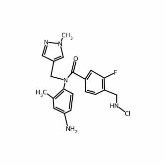 Cc1cc(N)ccc1N(Cc1cnn(C)c1)C(=O)c1ccc(CNCl)c(F)c1